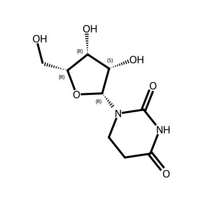 O=C1CCN([C@@H]2O[C@H](CO)[C@H](O)[C@@H]2O)C(=O)N1